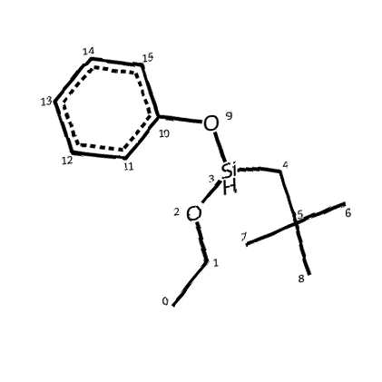 CCO[SiH](CC(C)(C)C)Oc1ccccc1